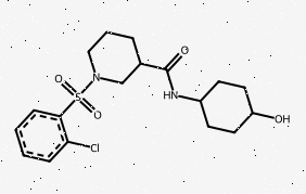 O=C(NC1CCC(O)CC1)C1CCCN(S(=O)(=O)c2ccccc2Cl)C1